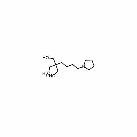 CCC(CO)(CO)CCCCN1CCCC1